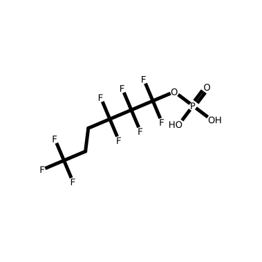 O=P(O)(O)OC(F)(F)C(F)(F)C(F)(F)CCC(F)(F)F